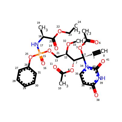 C#C[C@@](OC(C)=O)([C@H](OC(C)=O)[C@@H](COP(=O)(N[C@@H](C)C(=O)OCC)Oc1ccccc1)OC)n1ccc(=O)[nH]c1=O